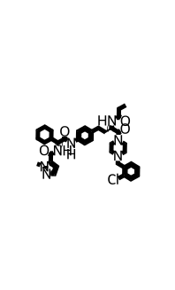 CCC(=O)N[C@H](CCc1ccc(NC(=O)[C@@H](NC(=O)c2ccnn2C)C2CCCCC2)cc1)C(=O)N1CCN(Cc2ccccc2Cl)CC1